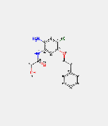 Nc1cc(Cl)c(OCCc2ccccc2)cc1NC(=O)CO